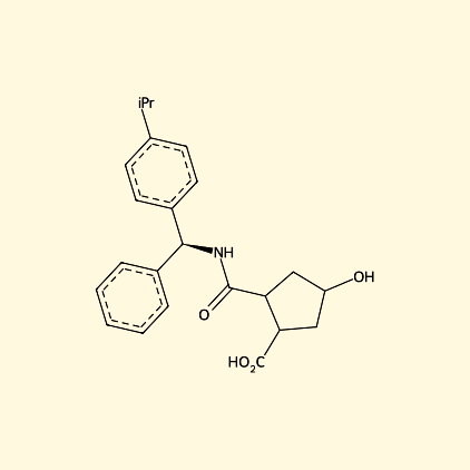 CC(C)c1ccc([C@@H](NC(=O)C2CC(O)CC2C(=O)O)c2ccccc2)cc1